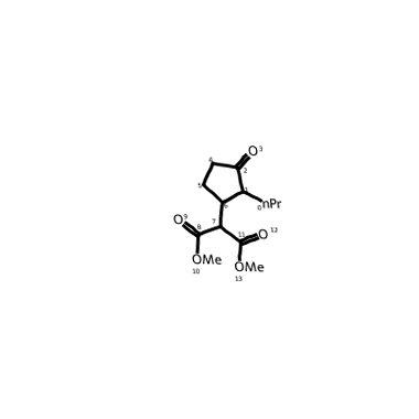 CCCC1C(=O)CCC1C(C(=O)OC)C(=O)OC